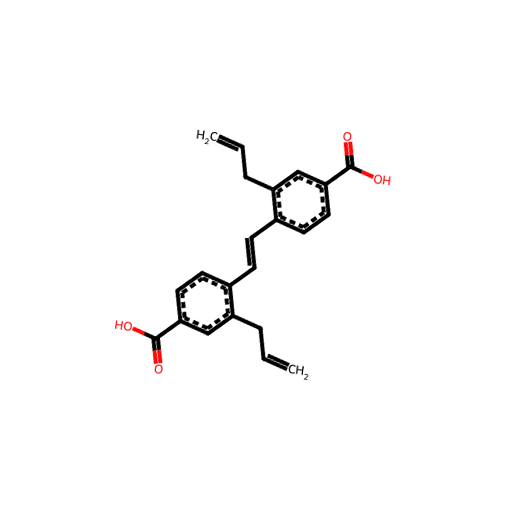 C=CCc1cc(C(=O)O)ccc1/C=C/c1ccc(C(=O)O)cc1CC=C